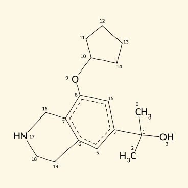 CC(C)(O)c1cc2c(c(OC3CCCC3)c1)CNCC2